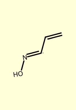 C=C/[C]=N/O